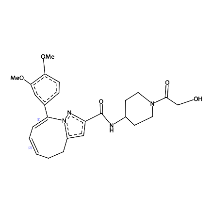 COc1ccc(/C2=C/C=C\CCc3cc(C(=O)NC4CCN(C(=O)CO)CC4)nn32)cc1OC